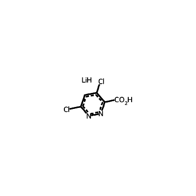 O=C(O)c1nnc(Cl)cc1Cl.[LiH]